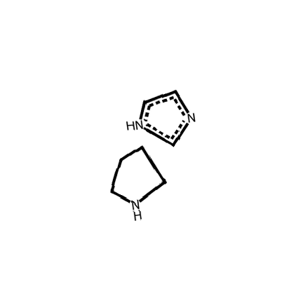 C1CCNC1.c1c[nH]cn1